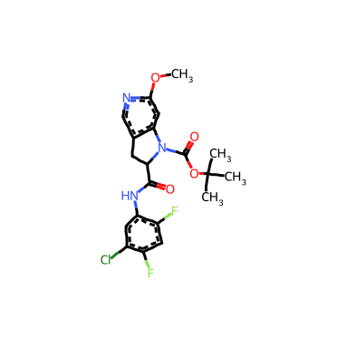 COc1cc2c(cn1)CC(C(=O)Nc1cc(Cl)c(F)cc1F)N2C(=O)OC(C)(C)C